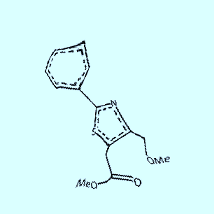 COCc1nc(-c2ccccc2)sc1C(=O)OC